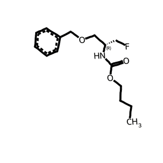 CCCCOC(=O)N[C@@H](CF)COCc1ccccc1